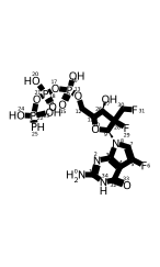 Nc1nc2c(c(F)cn2[C@@H]2OC(COP(=O)(O)OP(=O)(O)OP(O)(O)=P)[C@H](O)C2(F)CF)c(=O)[nH]1